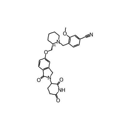 COc1cc(C#N)ccc1CN1CCCC[C@@H]1COc1ccc2c(c1)CN(C1CCC(=O)NC1=O)C2=O